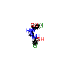 OC/C(=N\Nc1cc(N/N=C(\CO)c2ccc(Cl)cc2)ncn1)c1ccc(Cl)cc1